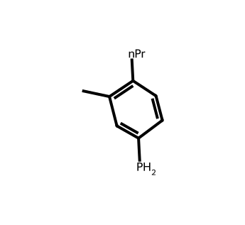 CCCc1ccc(P)cc1C